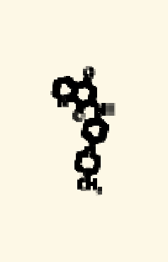 CN1CCN(c2ccc(NC3=CC(=O)c4cccnc4C3=O)cc2)CC1